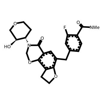 CNC(=O)c1ccc(Cc2cc3c(c4c2OCC4)OCN([C@H]2CCOC[C@@H]2O)C3=O)cc1F